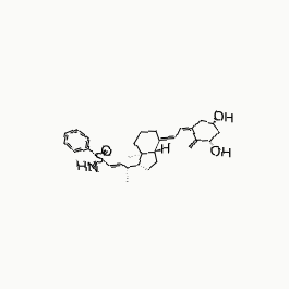 C=C1/C(=C\C=C2/CCC[C@]3(C)[C@@H]([C@H](C)/C=C/S(=N)(=O)c4ccccc4)CC[C@@H]23)C[C@@H](O)C[C@@H]1O